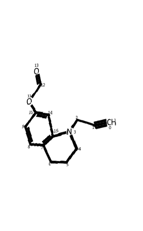 C#CCN1CCCc2ccc(OC=O)cc21